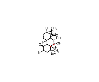 C=C1C(=O)[C@]23[C@H](O)[C@H]1CC[C@H]2[C@@]12CO[C@@]3(O)[C@@H](O)[C@@H]1[C@](C)(CCC)CC(Br)C2=O